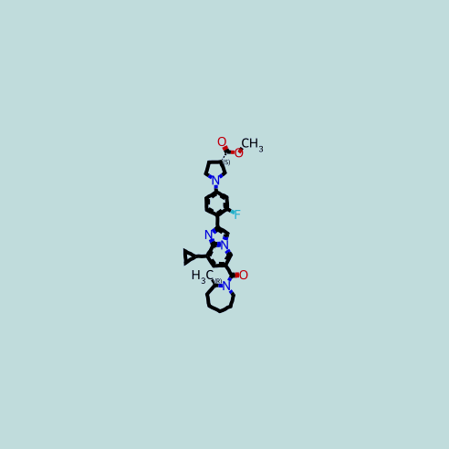 COC(=O)[C@H]1CCN(c2ccc(-c3cn4cc(C(=O)N5CCCCC[C@H]5C)cc(C5CC5)c4n3)c(F)c2)C1